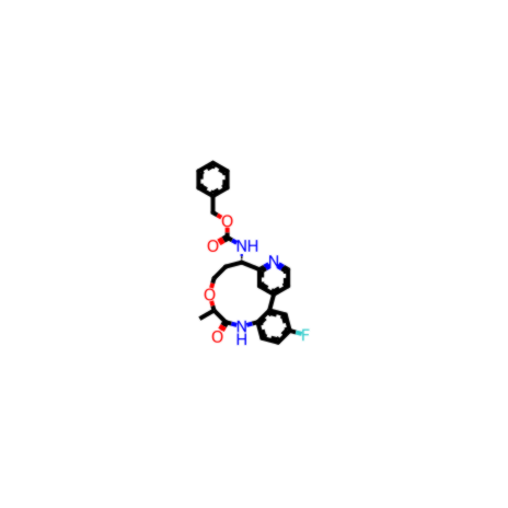 CC1OCC[C@H](NC(=O)OCc2ccccc2)c2cc(ccn2)-c2cc(F)ccc2NC1=O